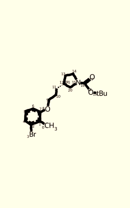 Cc1c(Br)cccc1OCCC[C@@H]1CCN(C(=O)OC(C)(C)C)C1